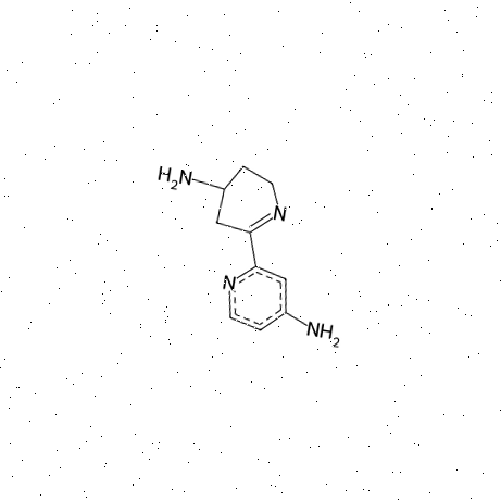 Nc1ccnc(C2=NCCC(N)C2)c1